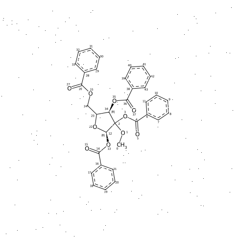 COC1(OC(=O)c2ccccc2)[C@@H](OC(=O)c2ccccc2)OC(COC(=O)c2ccccc2)[C@H]1OC(=O)c1ccccc1